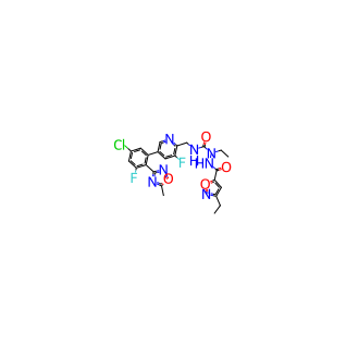 CCc1cc(C(=O)NN(CC)C(=O)NCc2ncc(-c3cc(Cl)cc(F)c3-c3noc(C)n3)cc2F)on1